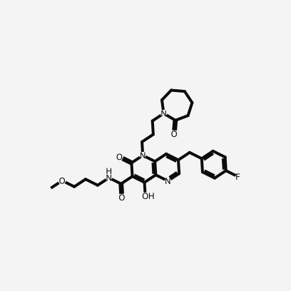 COCCCNC(=O)c1c(O)c2ncc(Cc3ccc(F)cc3)cc2n(CCCN2CCCCCC2=O)c1=O